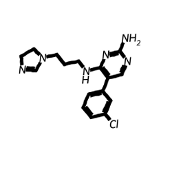 Nc1ncc(-c2cccc(Cl)c2)c(NCCCN2C=NCC2)n1